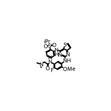 COc1cc(F)c(NC(=O)CN(C)C)cc1Nc1nc(Nc2ccccc2S(=O)(=O)C(C)C)c2sccc2n1